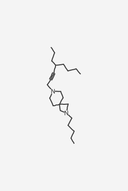 CCCCCN1CC2(CCN(CC#CC(CCC)CCCC)CC2)C1